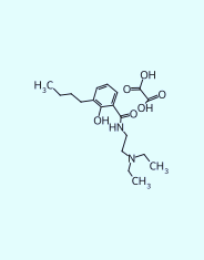 CCCCc1cccc(C(=O)NCCN(CC)CC)c1O.O=C(O)C(=O)O